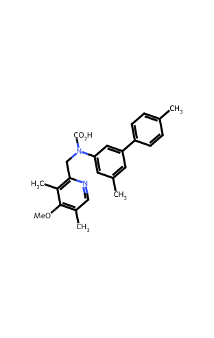 COc1c(C)cnc(CN(C(=O)O)c2cc(C)cc(-c3ccc(C)cc3)c2)c1C